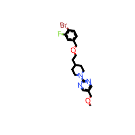 COCc1cnc(N2CCC(CCOCc3ccc(Br)c(F)c3)CC2)nc1